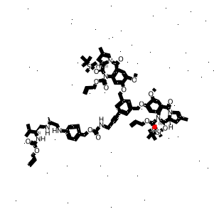 C=CCOC(=O)N[C@H](CN[C@@H](C)CNc1ccc(COC(=O)NCC#Cc2cc(COc3cc4c(cc3OC)C(=O)N3C=C(C)C[C@H]3[C@H](O[Si](C)(C)C(C)(C)C)N4C(=O)OCC=C)cc(COc3cc4c(cc3OC)C(=O)N3C=C(C)C[C@H]3[C@H](O[Si](C)(C)C(C)(C)C)N4C(=O)OCC=C)c2)cc1)C(C)C